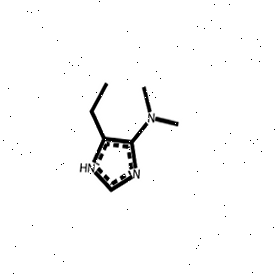 CCc1[nH]cnc1N(C)C